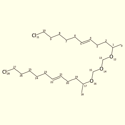 CC(CCC=CCCCCCCl)OCOCOC(C)CCC=CCCCCCCl